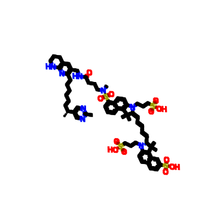 Cc1ncc([C@H](C)CCCCCCc2nc3c(cc2CNC(=O)CCCN(C)S(=O)(=O)c2cccc4c5c(ccc24)N(CCCS(=O)(=O)O)/C(=C/C=C/C=C/C2=[N+](CCCS(=O)(=O)O)c4ccc6ccc(S(=O)(=O)O)cc6c4C2(C)C)C5(C)C)CCCN3)cn1